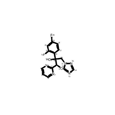 CC(c1ncccn1)C(O)(Cn1cncn1)c1ccc(F)cc1F